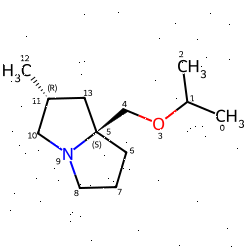 CC(C)OC[C@@]12CCCN1C[C@H](C)C2